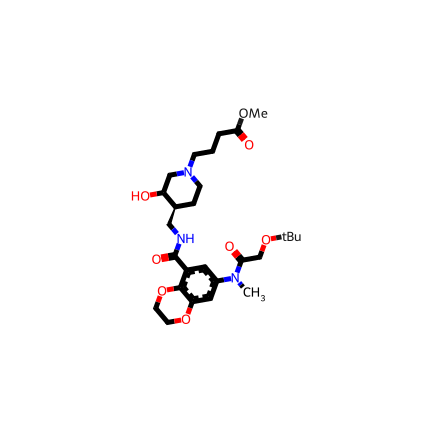 COC(=O)CCCN1CC[C@@H](CNC(=O)c2cc(N(C)C(=O)COC(C)(C)C)cc3c2OCCO3)C(O)C1